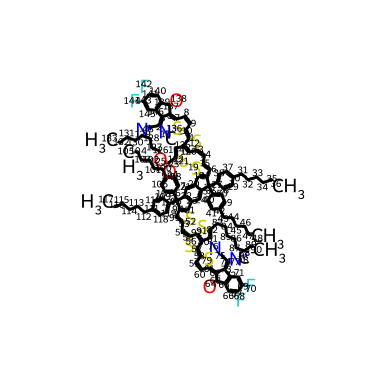 [C-]#[N+]/C(C#N)=C1\C(=c2\cc/c(=c3\s/c(=C/c4cc5c(s4)-c4cc6c(cc4C5(c4ccc(CCCCCC)cc4)c4ccc(CCCCCC)cc4)-c4sc(/C=c5/s/c(=c7\cc/c(=C8\C(=O)c9cc(F)c(F)cc9\C8=C(\C#N)[N+]#[C-])s7)c7cc(CCCCCCCC)sc57)cc4C6(c4ccc(CCCCCC)cc4)c4ccc(CCCCCC)cc4)c4sc(C(=O)OCCCCCCCC)cc34)s2)C(=O)c2cc(F)c(F)cc21